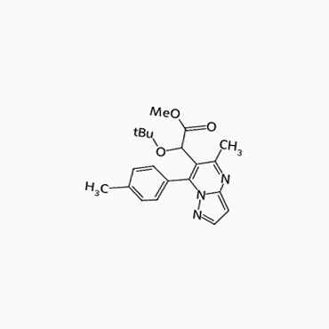 COC(=O)C(OC(C)(C)C)c1c(C)nc2ccnn2c1-c1ccc(C)cc1